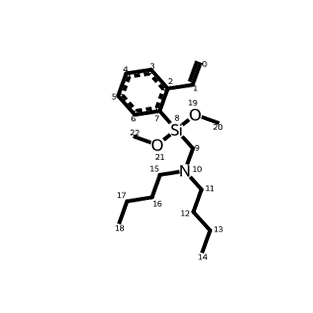 C=Cc1ccccc1[Si](CN(CCCC)CCCC)(OC)OC